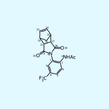 CC(=O)Nc1ccc(C(F)(F)F)cc1N1C(=O)C2C3C=CC(C3)C2C1=O